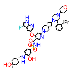 CC(C)c1ccccc1C1CN(C2CCOCC2)CCN1C1CC2(CCN(c3cc(Oc4cnc5[nH]cc(F)c5c4)c(C(=O)NS(=O)(=O)c4ccc(NC[C@H]5CC[C@](C)(O)CC5)c(O)c4)cn3)CC2)C1